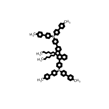 CCCCCCC1(CCCCCC)c2cc(-c3ccc(N(c4ccc(-c5ccc(C)cc5)cc4)c4ccc(-c5ccc(C)cc5)cc4)cc3)ccc2-c2c1cc(-c1ccc(N(c3ccc(-c4ccc(C)cc4)cc3)c3ccc(-c4ccc(C)cc4)cc3)cc1)c1ccccc21